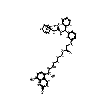 O=C(COc1cccc(C(NC(=O)O[C@H]2CN3CCC2CC3)c2ccccc2)c1)OCCCCNC[C@H](O)c1ccc(O)c2[nH]c(=O)ccc12